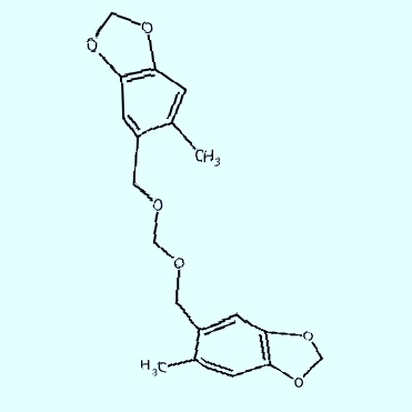 Cc1cc2c(cc1COCOCc1cc3c(cc1C)OCO3)OCO2